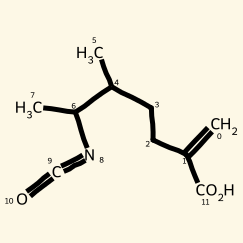 C=C(CCC(C)C(C)N=C=O)C(=O)O